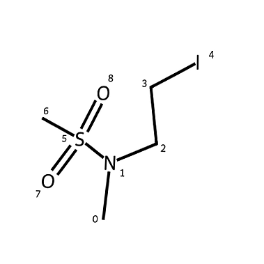 CN(CCI)S(C)(=O)=O